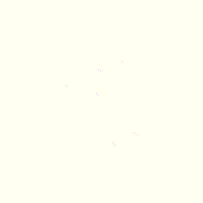 CC1CNCCN1c1ccncc1NCc1cc2nccnc2cc1F